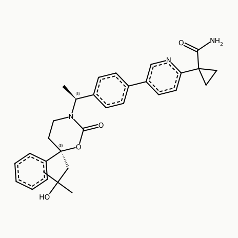 C[C@@H](c1ccc(-c2ccc(C3(C(N)=O)CC3)nc2)cc1)N1CC[C@](CC(C)(C)O)(c2ccccc2)OC1=O